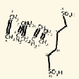 C=C.C=C.C=C.C=C.C=C.O=S(=O)(O)CCCCS(=O)(=O)O